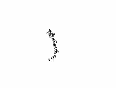 N#Cc1ccc(O[C@H]2CC[C@H](N3Cc4cc(N5CCN(CC(=O)N6Cc7cc8c(cc7C6)C(=O)N(C6CCC(=O)NC6=O)C8=O)CC5)ccc4C3=O)CC2)cc1Cl